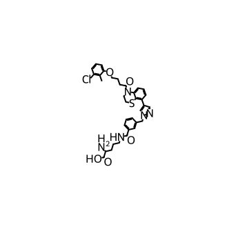 Cc1c(Cl)cccc1OCCCC(=O)N1CCSc2c(-c3cnn(Cc4cccc(C(=O)NCCCC(N)C(=O)O)c4)c3)cccc21